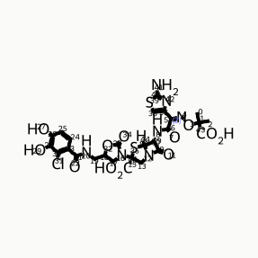 CC(C)(O/N=C(\C(=O)N[C@@H]1C(=O)N2C[C@@](C(=O)O)(N3CC(CNC(=O)c4ccc(O)c(O)c4Cl)OC3=O)S[C@H]12)c1csc(N)n1)C(=O)O